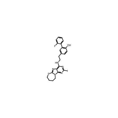 Oc1ccc(CCNc2nc(I)nc3c2nc2n3CCCCS2)cc1-c1ccccc1F